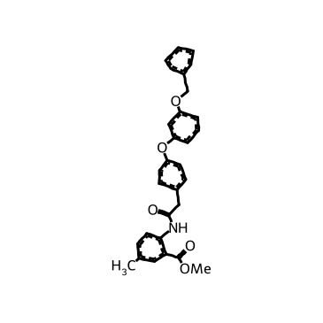 COC(=O)c1cc(C)ccc1NC(=O)Cc1ccc(Oc2cccc(OCc3ccccc3)c2)cc1